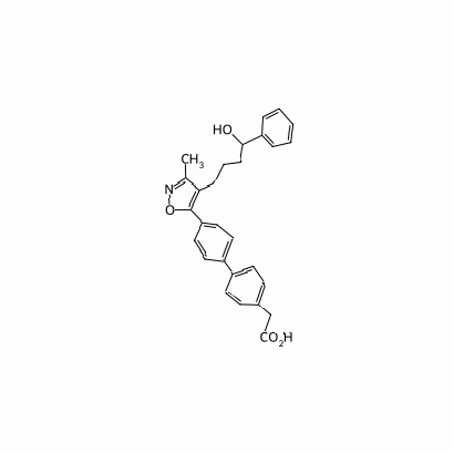 Cc1noc(-c2ccc(-c3ccc(CC(=O)O)cc3)cc2)c1CCCC(O)c1ccccc1